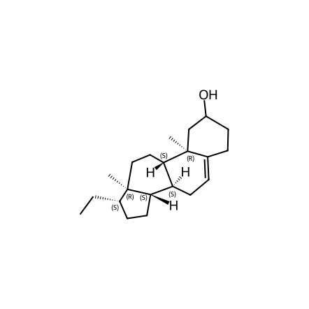 CC[C@H]1CC[C@H]2[C@@H]3CC=C4CCC(O)C[C@]4(C)[C@H]3CC[C@]12C